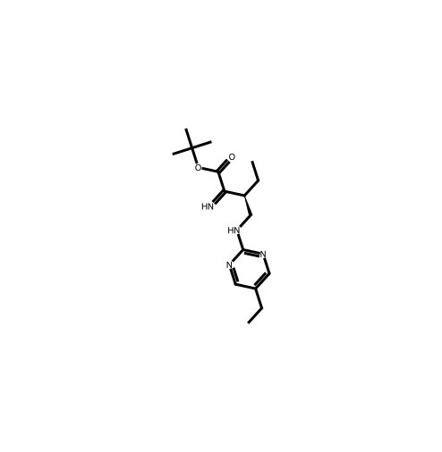 CCc1cnc(NC[C@H](CC)C(=N)C(=O)OC(C)(C)C)nc1